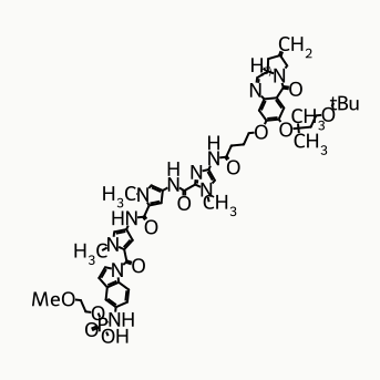 C=C1C[C@H]2C=Nc3cc(OCCCC(=O)Nc4cn(C)c(C(=O)Nc5cc(C(=O)Nc6cc(C(=O)n7ccc8cc(NP(=O)(O)OCCOC)ccc87)n(C)c6)n(C)c5)n4)c(OC(C)(C)CCOC(C)(C)C)cc3C(=O)N2C1